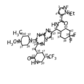 CCn1nccc1C(=O)N[C@H](c1cn2nc(C[C@H]3C[C@@H](C(F)(F)F)CNC3=O)c(N3CCN(C)[C@H](C)C3)nc2n1)C1CCC(F)(F)CC1